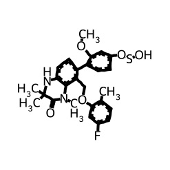 COc1cc(OSO)ccc1-c1ccc2c(c1COc1cc(F)ccc1C)N(C)C(=O)C(C)(C)N2